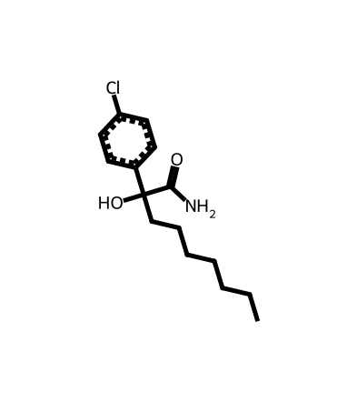 CCCCCCCC(O)(C(N)=O)c1ccc(Cl)cc1